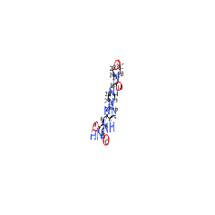 O=C1NC(=O)/C(=C/c2ccnc(N3CCN(CC(=O)N4CCOCC4)CC3)n2)N1